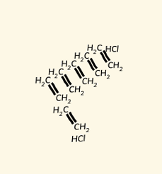 C=C.C=C.C=C.C=C.C=C.C=C.Cl.Cl